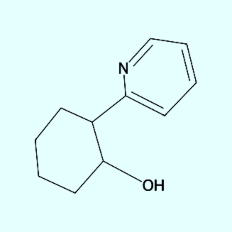 OC1CCCCC1c1ccccn1